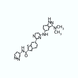 CN(C)c1n[nH]c2ccc(Nc3ccnc(-c4ccc5cc(C(=O)Nc6ccnnc6)sc5c4)n3)cc12